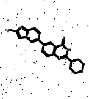 Cc1cn2cc(-c3ccc4nc(C5CCOCC5)[nH]c(=O)c4c3)ccc2n1